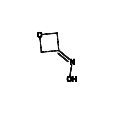 ON=C1COC1